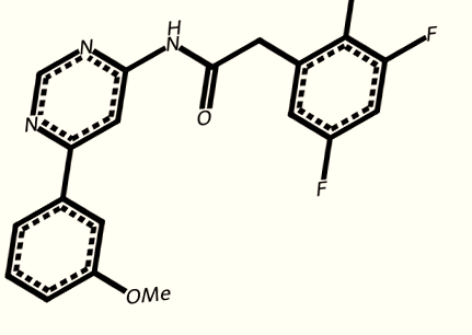 COc1cccc(-c2cc(NC(=O)Cc3cc(F)cc(F)c3F)ncn2)c1